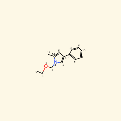 CCOCn1cc(-c2ccccc2)cc1C